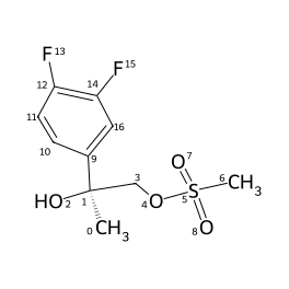 C[C@@](O)(COS(C)(=O)=O)c1ccc(F)c(F)c1